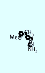 COc1cccc(N(C)c2ccc3c(ccn3-c3ccc(N)cn3)c2)c1